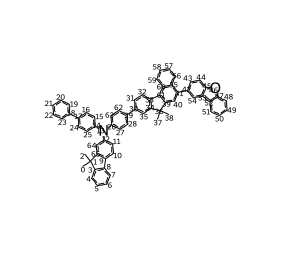 CC1(C)c2ccccc2-c2ccc(N(c3ccc(-c4ccccc4)cc3)c3ccc(-c4ccc5c(c4)C(C)(C)c4cc(-c6ccc7oc8ccccc8c7c6)c6ccccc6c4-5)cc3)cc21